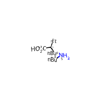 CCCCC(CC)C(=O)O.CCCCN